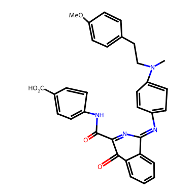 COc1ccc(CCN(C)c2ccc(N=C3N=C(C(=O)Nc4ccc(C(=O)O)cc4)C(=O)c4ccccc43)cc2)cc1